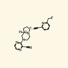 N#Cc1nccnc1N1CCN2[C@@H](CC[C@@H]2C#Cc2cccc(CF)n2)C1